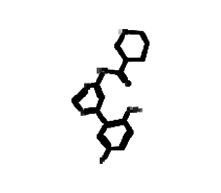 COc1ccc(F)cc1-c1cc(NC(=O)C2CCCNC2)ncn1